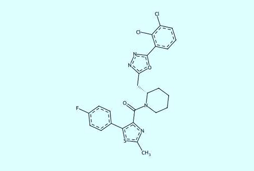 Cc1nc(C(=O)N2CCCC[C@H]2Cc2nnc(-c3cccc(Cl)c3Cl)o2)c(-c2ccc(F)cc2)s1